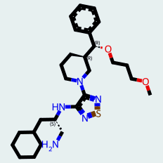 COCCCO[C@@H](c1ccccc1)[C@@H]1CCCN(c2nsnc2N[C@H](CN)CC2CCCCC2)C1